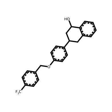 OC1CC(c2ccc(OCc3ccc(C(F)(F)F)cc3)cc2)Cc2ccccc21